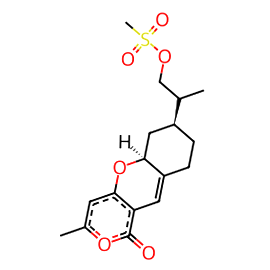 Cc1cc2c(c(=O)o1)C=C1CC[C@H](C(C)COS(C)(=O)=O)C[C@@H]1O2